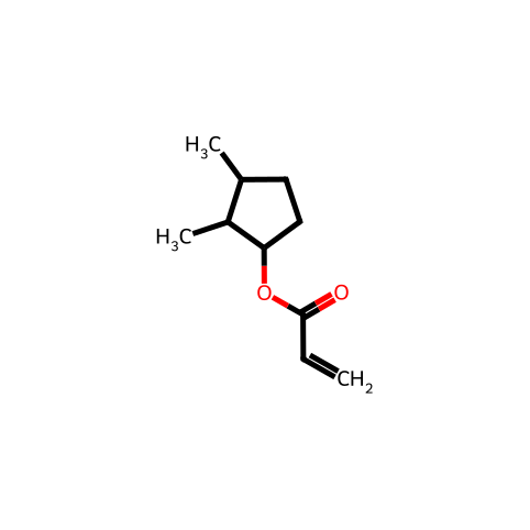 C=CC(=O)OC1CCC(C)C1C